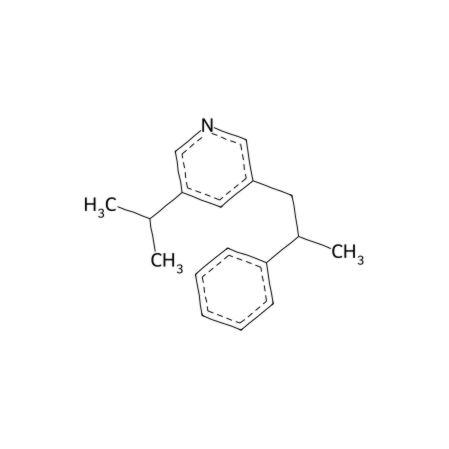 CC(C)c1cncc(CC(C)c2ccccc2)c1